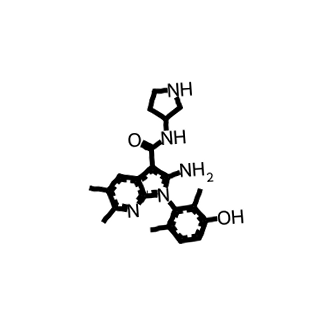 Cc1cc2c(C(=O)NC3CCNC3)c(N)n(-c3c(C)ccc(O)c3C)c2nc1C